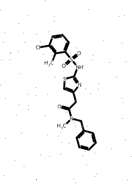 Cc1c(Cl)cccc1S(=O)(=O)Nc1nc(CC(=O)N(C)Cc2ccccc2)cs1